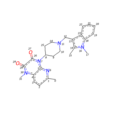 Cc1ccc2c(n1)n(C1CCN(Cc3c(C)n(C)c4ccccc34)CC1)c(=O)c(=O)n2C